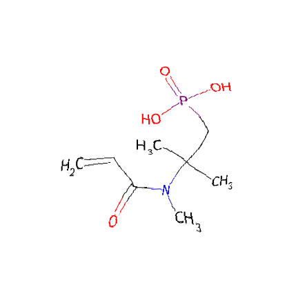 C=CC(=O)N(C)C(C)(C)CP(=O)(O)O